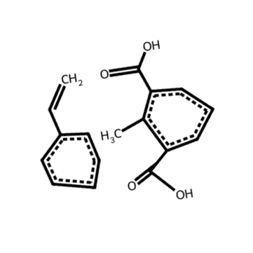 C=Cc1ccccc1.Cc1c(C(=O)O)cccc1C(=O)O